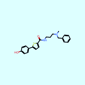 CN(CCCNC(=O)c1ccc(-c2ccc(O)cc2)s1)Cc1ccccc1